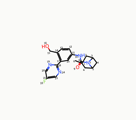 CC1CC2CC(C1)N2C(=O)Nc1ccc(CO)c(-c2ncc(F)cn2)c1